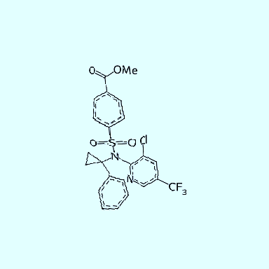 COC(=O)c1ccc(S(=O)(=O)N(c2ncc(C(F)(F)F)cc2Cl)C2(c3ccccc3)CC2)cc1